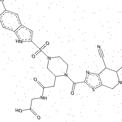 CC1NCc2sc(C(=O)N3CCN(S(=O)(=O)c4cc5cc(Cl)ccc5[nH]4)CC3CC(=O)NCC(=O)O)nc2C1C#N